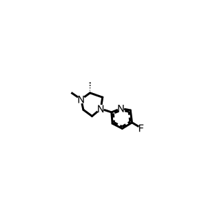 C[C@@H]1CN(c2ccc(F)cn2)CCN1C